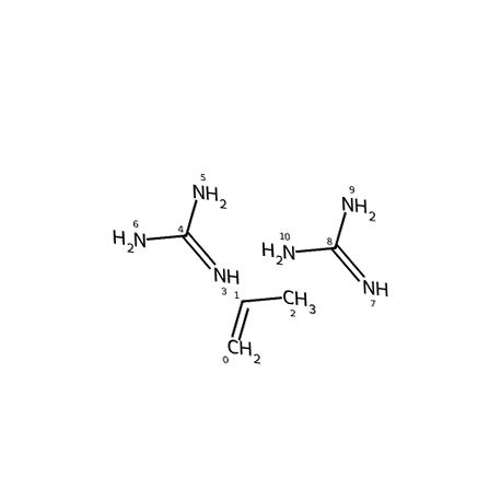 C=CC.N=C(N)N.N=C(N)N